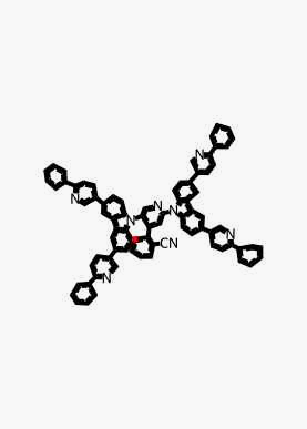 N#Cc1ccccc1-c1cc(-n2c3ccc(-c4ccc(-c5ccccc5)nc4)cc3c3cc(-c4ccc(-c5ccccc5)nc4)ccc32)ncc1-n1c2ccc(-c3ccc(-c4ccccc4)nc3)cc2c2cc(-c3ccc(-c4ccccc4)nc3)ccc21